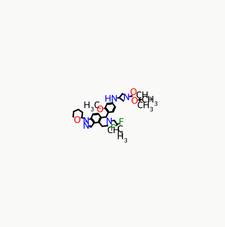 COc1cc(NC2CN(C(=O)OC(C)(C)C)C2)ccc1C1c2ccc3c(cnn3C3CCCCO3)c2C[C@@H](C)N1CC(C)(F)F